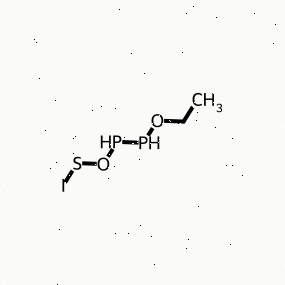 CCOPPOSI